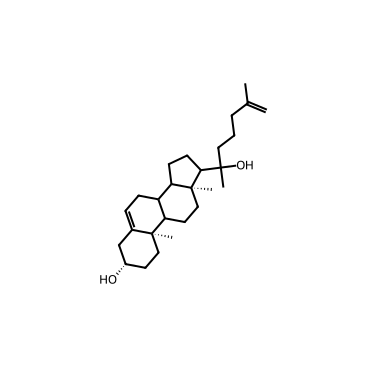 C=C(C)CCCC(C)(O)C1CCC2C3CC=C4C[C@@H](O)CC[C@]4(C)C3CC[C@@]21C